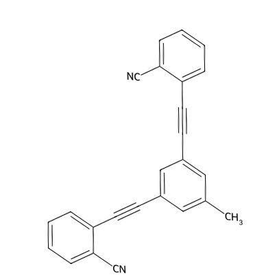 Cc1cc(C#Cc2ccccc2C#N)cc(C#Cc2ccccc2C#N)c1